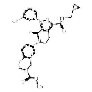 CC(C)(C)OC(=O)N1CCc2ccc(N3CCc4c(C(=O)NCC5CC5)nn(-c5cccc(Cl)c5)c4C3=O)cc2C1